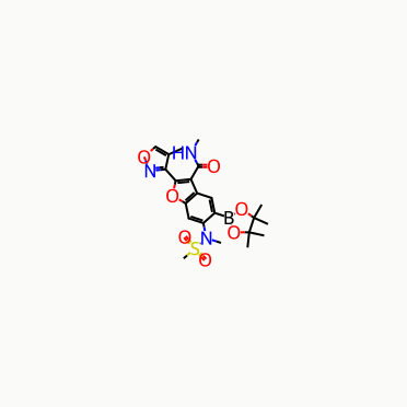 CNC(=O)c1c(-c2nocc2C)oc2cc(N(C)S(C)(=O)=O)c(B3OC(C)(C)C(C)(C)O3)cc12